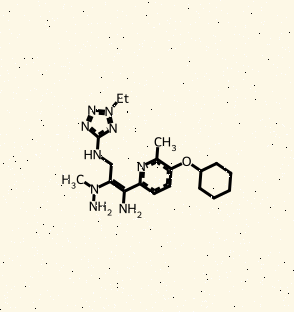 CCn1nnc(NC/C(=C(/N)c2ccc(OC3CCCCC3)c(C)n2)N(C)N)n1